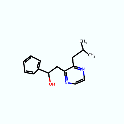 CC(C)Cc1nccnc1CC(O)c1ccccc1